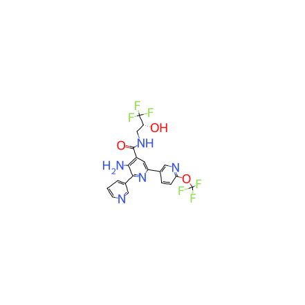 Nc1c(C(=O)NC[C@@H](O)C(F)(F)F)cc(-c2ccc(OC(F)(F)F)nc2)nc1-c1cccnc1